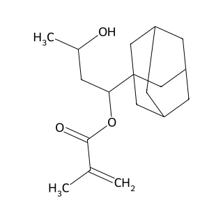 C=C(C)C(=O)OC(CC(C)O)C12CC3CC(CC(C3)C1)C2